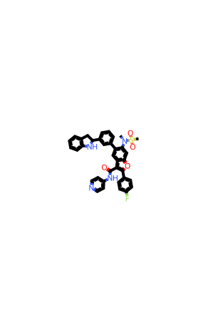 CN(c1cc2oc(-c3ccc(F)cc3)c(C(=O)Nc3ccncc3)c2cc1-c1cccc(C2Cc3ccccc3N2)c1)S(C)(=O)=O